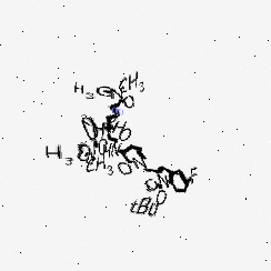 [2H]C([2H])(C/C=C/C(=O)N(C)C)C(OC(=O)N(C)C)C(=O)Nc1cccn(Cc2cc3cc(F)ccc3n2C(=O)OC(C)(C)C)c1=O